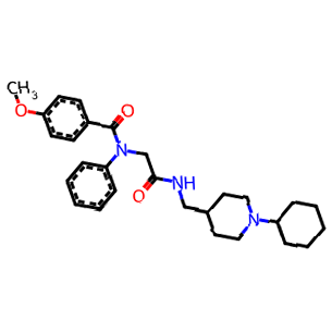 COc1ccc(C(=O)N(CC(=O)NCC2CCN(C3CCCCC3)CC2)c2ccccc2)cc1